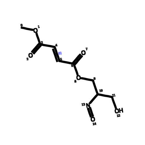 COC(=O)/C=C/C(=O)OCC(CO)N=O